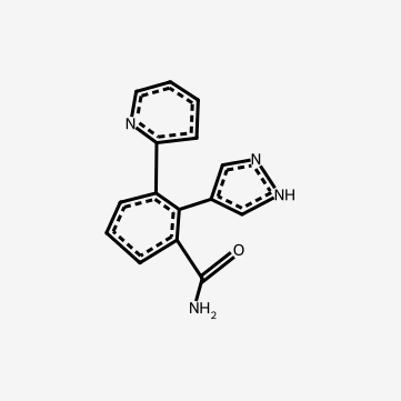 NC(=O)c1cccc(-c2ccccn2)c1-c1cn[nH]c1